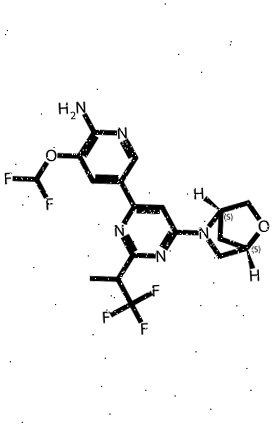 CC(c1nc(-c2cnc(N)c(OC(F)F)c2)cc(N2C[C@@H]3C[C@H]2CO3)n1)C(F)(F)F